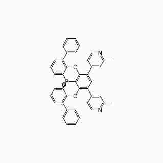 Cc1cc(-c2cc(-c3ccnc(C)c3)c3c4c2Oc2c(-c5ccccc5)cccc2P4(=O)c2cccc(-c4ccccc4)c2O3)ccn1